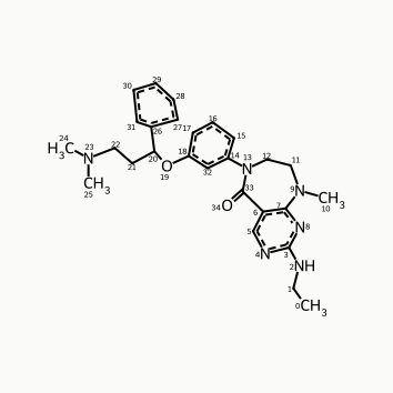 CCNc1ncc2c(n1)N(C)CCN(c1cccc(OC(CCN(C)C)c3ccccc3)c1)C2=O